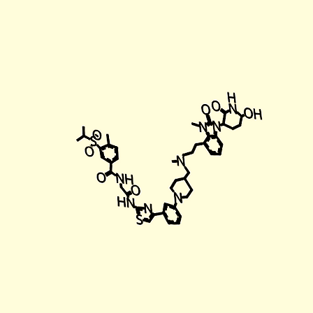 Cc1ccc(C(=O)NCC(=O)Nc2nc(-c3cccc(N4CCC(CN(C)CCCc5cccc6c5n(C)c(=O)n6C5CCC(O)NC5=O)CC4)c3)cs2)cc1S(=O)(=O)C(C)C